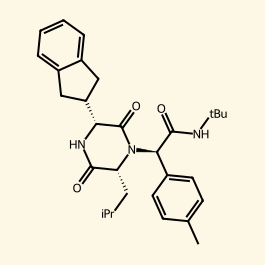 Cc1ccc([C@H](C(=O)NC(C)(C)C)N2C(=O)[C@@H](C3Cc4ccccc4C3)NC(=O)[C@H]2CC(C)C)cc1